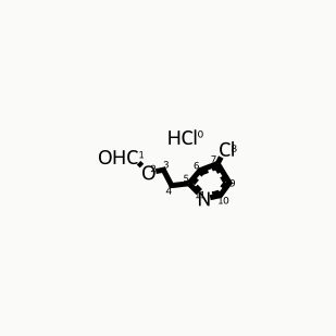 Cl.O=COCCc1cc(Cl)ccn1